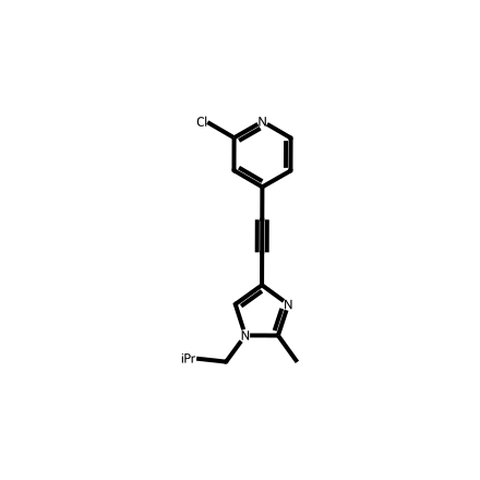 Cc1nc(C#Cc2ccnc(Cl)c2)cn1CC(C)C